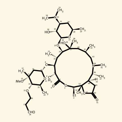 CC[C@H]1OC(=O)[C@H](C)[C@@H](O[C@H]2C[C@@](C)(OC)[C@@H](OCCC=O)[C@H](C)O2)[C@H](C)[C@@H](O[C@@H]2O[C@H](C)C[C@H](N(C)C)[C@H]2O)[C@](C)(O)C[C@@H](C)CN(C)[C@H](C)[C@H]2CC(=O)O[C@@]21C